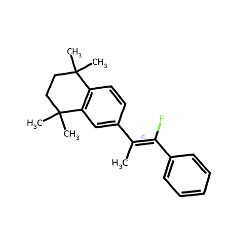 C/C(=C(/F)c1ccccc1)c1ccc2c(c1)C(C)(C)CCC2(C)C